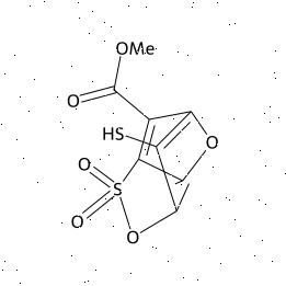 COC(=O)c1c2c3oc1c(S)c3OS2(=O)=O